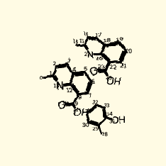 Cc1ccc2cccc(C(=O)O)c2n1.Cc1ccc2cccc(C(=O)O)c2n1.Cc1ccccc1O